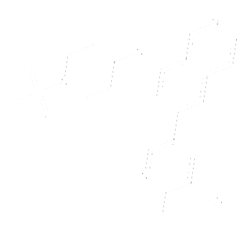 CCS(=O)(=O)N1CCC(Nc2cc(-c3cnc(Cl)c(C#N)c3)cc3ccncc23)CC1